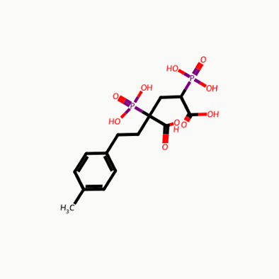 Cc1ccc(CCC(CC(C(=O)O)P(=O)(O)O)(C(=O)O)P(=O)(O)O)cc1